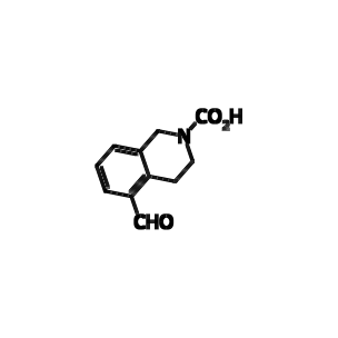 O=Cc1cccc2c1CCN(C(=O)O)C2